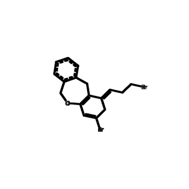 BrCCC=C1CC(Br)=CC2=C1Cc1ccccc1CO2